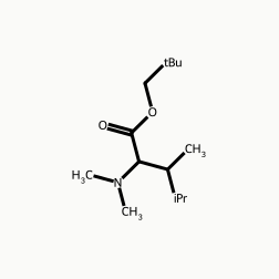 CC(C)C(C)C(C(=O)OCC(C)(C)C)N(C)C